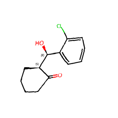 O=C1CCCC[C@H]1[C@@H](O)c1ccccc1Cl